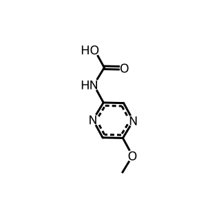 COc1cnc(NC(=O)O)cn1